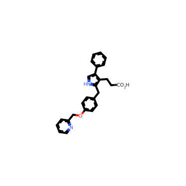 O=C(O)CCc1c(-c2ccccc2)c[nH]c1Cc1ccc(OCc2ccccn2)cc1